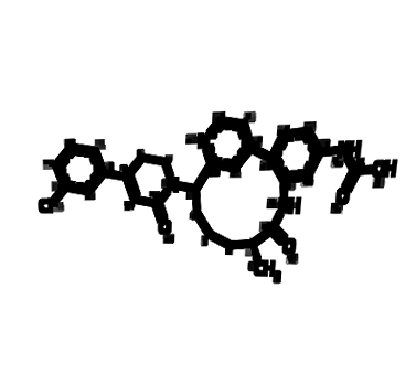 C[C@H]1CCCC(N2CCC(c3cccc(Cl)c3)=CC2=O)c2cc(ccn2)-c2ccc(NC(=O)O)cc2NC1=O